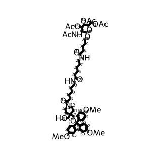 COc1ccc(C(OCC2(CO)CCN(C(=O)CCCCCNC(=O)CCCCCNC(=O)CCCCOC3OC(COC(C)=O)C(OC(C)=O)C(OC(C)=O)C3NC(C)=O)CC2)(c2ccc(OC)cc2)c2ccc(OC)cc2)cc1